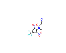 CCN(CCC#N)c1c([N+](=O)[O-])cc(C(F)(F)F)cc1[N+](=O)[O-]